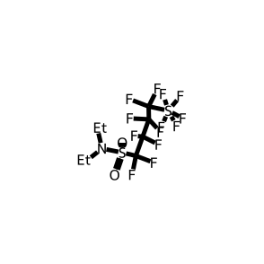 CCN(CC)S(=O)(=O)C(F)(F)C(F)(F)C(F)(F)C(F)(F)S(F)(F)(F)(F)F